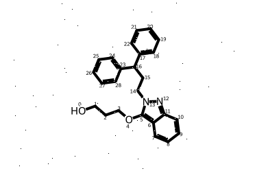 OCCCOc1c2ccccc2nn1CCC(c1ccccc1)c1ccccc1